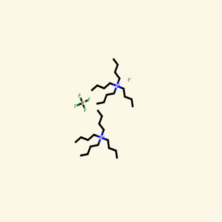 CCCC[N+](CCCC)(CCCC)CCCC.CCCC[N+](CCCC)(CCCC)CCCC.F[B-](F)(F)F.[F-]